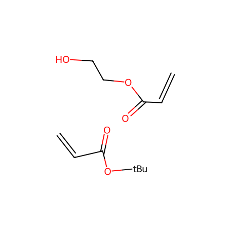 C=CC(=O)OC(C)(C)C.C=CC(=O)OCCO